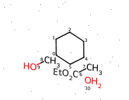 C1CCCCC1.CCOC(C)=O.CO.O